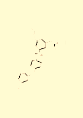 CCOc1cc(CC(=O)O)cc(S(=O)(=O)c2ccc(Sc3cccc(OC)c3)cc2)c1